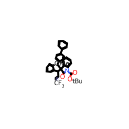 COc1ccccc1C(/C=C/C(F)(F)F)C1(Cc2ccc(-c3ccccc3)cc2)C(=O)N(C(=O)OC(C)(C)C)c2ccccc21